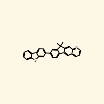 CC1(C)c2cc(-c3ccc4c(c3)sc3ccccc34)ccc2-c2cc3cccnc3cc21